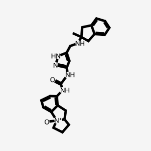 CC1(NCc2cc(NC(=O)Nc3cccc4c3CC3CCC[N+]43[O-])n[nH]2)Cc2ccccc2C1